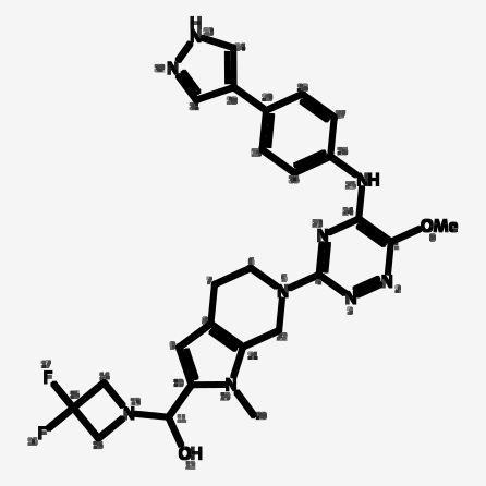 COc1nnc(N2CCc3cc(C(O)N4CC(F)(F)C4)n(C)c3C2)nc1Nc1ccc(-c2cn[nH]c2)cc1